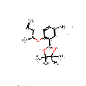 C=CC[C@H](C)Oc1ccc(C)cc1B1OC(C)(C)C(C)(C)O1